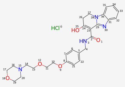 Cl.O=C(NCc1ccc(OCCOCCN2CCOCC2)cc1)C1=C(O)CCn2c1nc1ccccc12